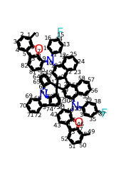 Cc1cccc2c1oc1c(N(c3ccc(F)cc3)c3cc4c(c5ccccc35)-c3c(cc(N(c5ccc(F)cc5)c5cccc6c5oc5c(C)cccc56)c5ccccc35)C43c4ccccc4-n4c5ccccc5c5cccc3c54)cccc12